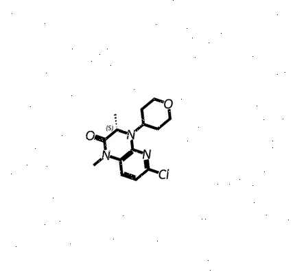 C[C@H]1C(=O)N(C)c2ccc(Cl)nc2N1C1CCOCC1